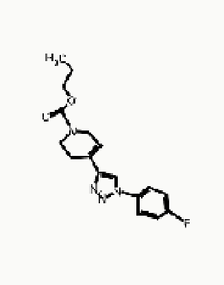 CCCOC(=O)N1CC=C(c2cn(-c3ccc(F)cc3)nn2)CC1